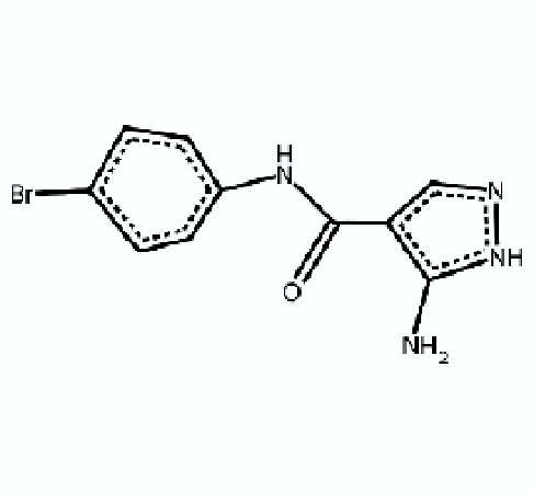 Nc1[nH]ncc1C(=O)Nc1ccc(Br)cc1